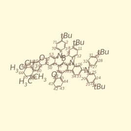 CC(C)(C)c1ccc(N2B3c4cc(C(C)(C)C)ccc4-n4c5cc(N(c6ccc(C(C)(C)C)cc6)c6ccc(C(C)(C)C)cc6)ccc5c5c6c(oc7ccccc76)c(c3c54)-c3cc4c(cc32)oc2cc3c(cc24)C(C)(C)CCC3(C)C)cc1